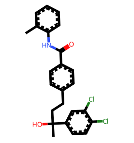 Cc1ccccc1NC(=O)c1ccc(CCC(C)(O)c2ccc(Cl)c(Cl)c2)cc1